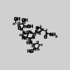 NC(=O)Cc1cnn(-c2nc(N[C@@H]3CCC[C@H]3O)c3ncn([C@@H]4O[C@H](CO)C(O)C4O)c3n2)c1